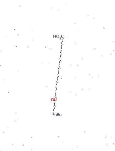 CCCC/C=C\CCCCCCCC(=O)OCCCCCCCCCCCCCCCCCCCCCCCCCCCCCCCCCCCCCCC(=O)O